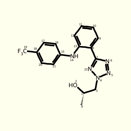 C[C@H](O)Cn1nnc(-c2ccccc2Nc2ccc(C(F)(F)F)cc2)n1